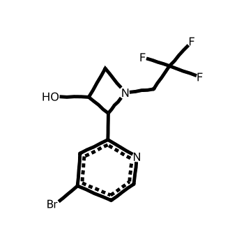 OC1CN(CC(F)(F)F)C1c1cc(Br)ccn1